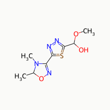 COC(O)c1nnc(C2=NOC(C)N2C)s1